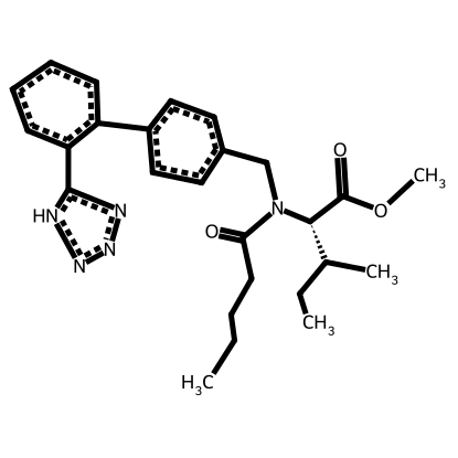 CCCCC(=O)N(Cc1ccc(-c2ccccc2-c2nnn[nH]2)cc1)[C@H](C(=O)OC)C(C)CC